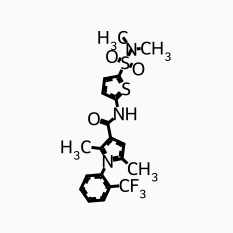 Cc1cc(C(=O)Nc2ccc(S(=O)(=O)N(C)C)s2)c(C)n1-c1ccccc1C(F)(F)F